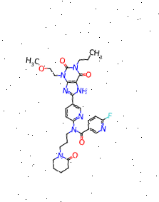 CCCn1c(=O)c2[nH]c(-c3ccc(N(CCCN4CCCCC4=O)C(=O)c4ccc(F)nc4)nc3)nc2n(CCOC)c1=O